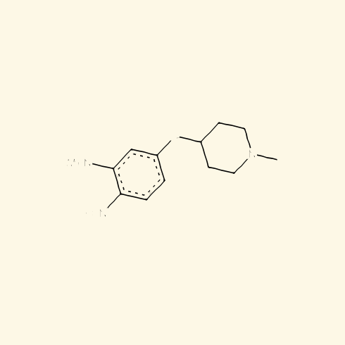 CNc1cc(SC2CCN(C)CC2)ccc1[N+](=O)[O-]